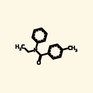 CCN(C(=O)c1ccc(C)cc1)c1ccccc1